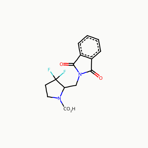 O=C1c2ccccc2C(=O)N1CC1N(C(=O)O)CCC1(F)F